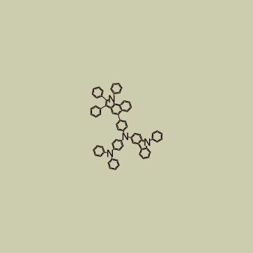 c1ccc(-c2c(-c3ccccc3)n(-c3ccccc3)c3c2cc(-c2ccc(N(c4ccc(N(c5ccccc5)c5ccccc5)cc4)c4ccc5c(c4)c4ccccc4n5-c4ccccc4)cc2)c2ccccc23)cc1